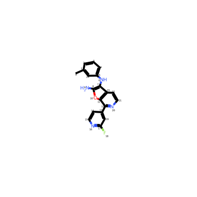 Cc1cccc(Nc2c(N)oc3c(-c4ccnc(F)c4)nccc23)c1